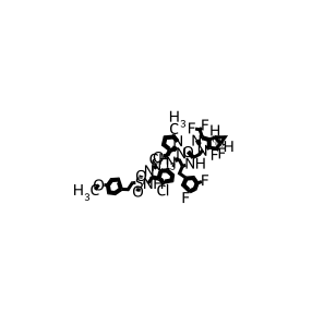 COc1ccc(CCS(=O)(=O)Nc2nn(C)c3c(-n4c(C(Cc5cc(F)cc(F)c5)NC(=O)Cn5nc(C(F)F)c6c5C(F)(F)[C@@H]5C[C@H]65)nc5nc(C)ccc5c4=O)ccc(Cl)c23)cc1